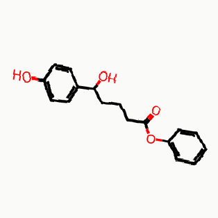 O=C(CCCC(O)c1ccc(O)cc1)Oc1ccccc1